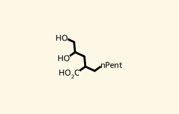 CCCCCCC(CC(O)CO)C(=O)O